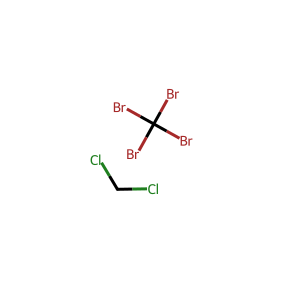 BrC(Br)(Br)Br.ClCCl